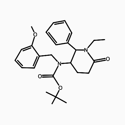 CCN1C(=O)CCC(N(Cc2ccccc2OC)C(=O)OC(C)(C)C)C1c1ccccc1